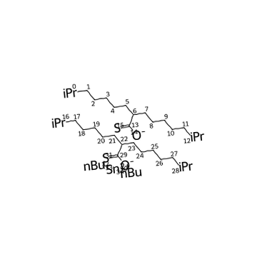 CC(C)CCCCCC(CCCCCC(C)C)C([O-])=S.CC(C)CCCCCC(CCCCCC(C)C)C([O-])=S.CCC[CH2][Sn+2][CH2]CCC